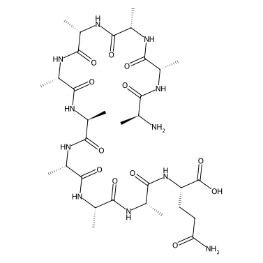 C[C@H](N)C(=O)N[C@@H](C)C(=O)N[C@@H](C)C(=O)N[C@@H](C)C(=O)N[C@@H](C)C(=O)N[C@@H](C)C(=O)N[C@@H](C)C(=O)N[C@@H](C)C(=O)N[C@@H](C)C(=O)N[C@@H](CCC(N)=O)C(=O)O